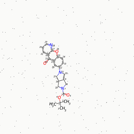 CC(C)(C)OC(=O)N1CC2=CN(c3ccc4oc5ncccc5c(=O)c4c3)CC2C1